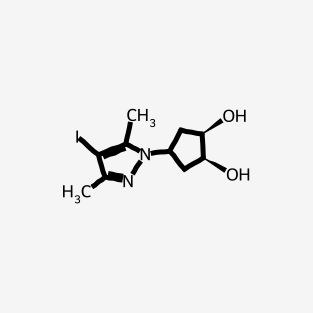 Cc1nn(C2C[C@@H](O)[C@@H](O)C2)c(C)c1I